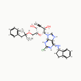 C#C[C@@H](O)[C@@H](O[C@@H](CO)COC(Cc1ccccc1)(C(=O)O)C(=O)O)n1cnc2c(N[C@@H]3CCc4ccccc43)nc(Cl)nc21